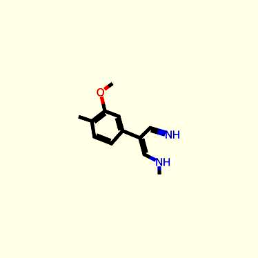 CN/C=C(\C=N)c1ccc(C)c(OC)c1